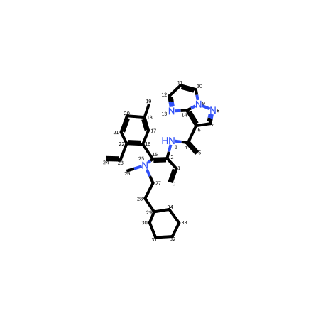 C=C/C(NC(=C)c1cnn2cccnc12)=C(/c1cc(C)ccc1C=C)N(C)CCC1CCCCC1